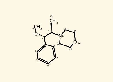 CO[C@@H](c1ccccc1)[C@@H](C)N1CCOCC1